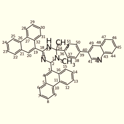 CN1C(c2cc3ccccc3c3ccccc23)N=C(c2cc3ccccc3c3ccccc23)NC1(C)c1ccc(-c2cnc3ccccc3c2)cc1